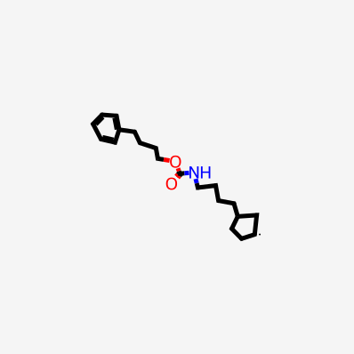 O=C(NCCCCC1C[CH]CC1)OCCCCc1ccccc1